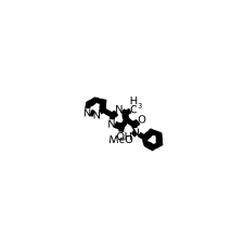 CON(C(=O)c1c(C)nc(-c2cccnn2)nc1O)c1ccccc1